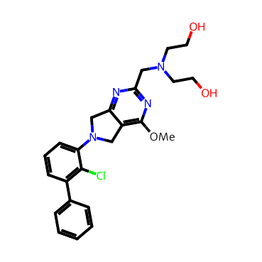 COc1nc(CN(CCO)CCO)nc2c1CN(c1cccc(-c3ccccc3)c1Cl)C2